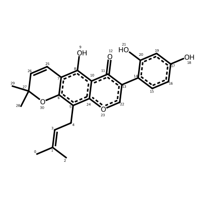 CC(C)=CCc1c2c(c(O)c3c(=O)c(-c4ccc(O)cc4O)coc13)C=CC(C)(C)O2